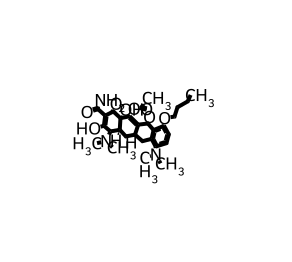 CCCCOc1ccc(N(C)C)c2c1C(=O)C1=C(OC(C)=O)[C@]3(O)C(=O)C(C(N)=O)=C(O)C(N(C)C)[C@@H]3C[C@@H]1C2